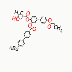 C=CC(=O)Oc1ccc(-c2ccc(OC(=O)C(=C)CO)c(OC(=O)c3ccc(-c4ccc(CCCC)cc4)cc3)c2)cc1